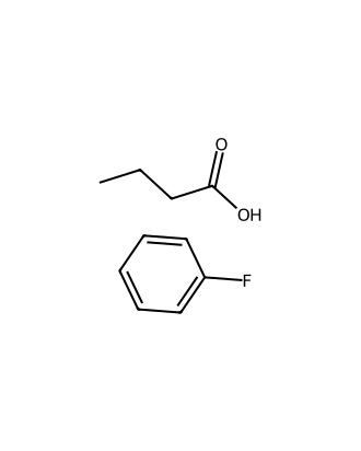 CCCC(=O)O.Fc1ccccc1